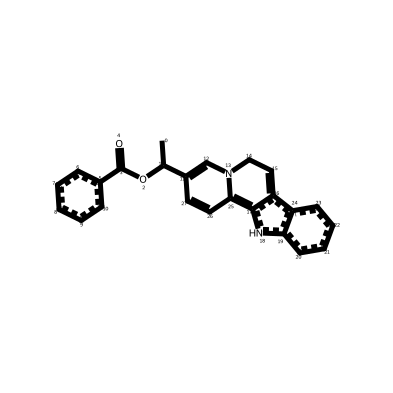 CC(OC(=O)c1ccccc1)C1=CN2CC=c3c([nH]c4ccccc34)=C2C=C1